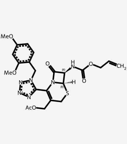 C=CCOC(=O)N[C@@H]1C(=O)N2C(c3nnnn3Cc3ccc(OC)cc3OC)=C(COC(C)=O)CS[C@H]12